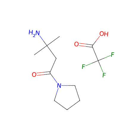 CC(C)(N)CC(=O)N1CCCC1.O=C(O)C(F)(F)F